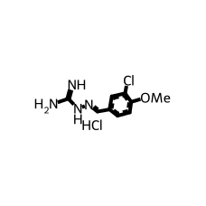 COc1ccc(/C=N/NC(=N)N)cc1Cl.Cl